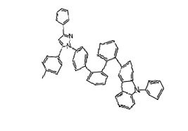 Cc1ccc(-c2cc(-c3ccccc3)nn2-c2ccc(-c3ccccc3-c3ccccc3-c3ccc4c(c3)c3ccccc3n4-c3ccccc3)cc2)cc1